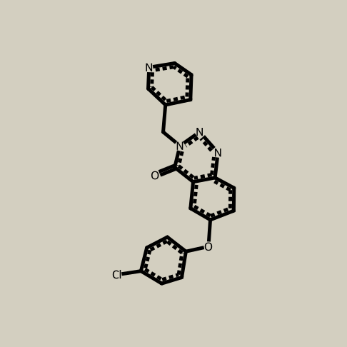 O=c1c2cc(Oc3ccc(Cl)cc3)ccc2nnn1Cc1cccnc1